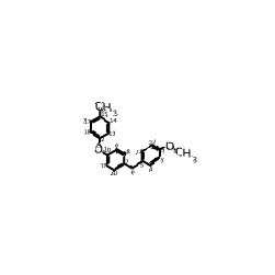 COc1ccc(Cc2ccc(Oc3ccc(C)cc3)cc2)cc1